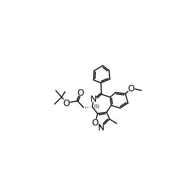 COc1ccc2c(c1)C(c1ccccc1)=N[C@@H](CC(=O)OC(C)(C)C)c1onc(C)c1-2